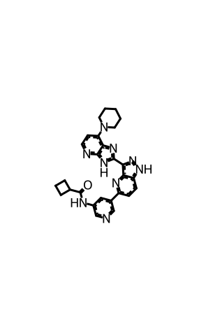 O=C(Nc1cncc(-c2ccc3[nH]nc(-c4nc5c(N6CCCCC6)ccnc5[nH]4)c3n2)c1)C1CCC1